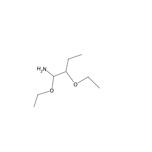 CCOC(N)C(CC)OCC